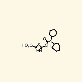 O=C(O)c1nnc(NC(=O)N(C2CCCCC2)C2CCCCC2)s1